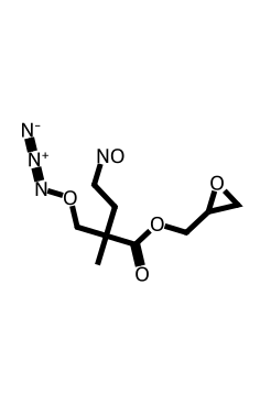 CC(CCN=O)(CON=[N+]=[N-])C(=O)OCC1CO1